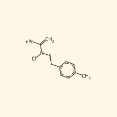 C=C(CCC)N(Cl)SCc1ccc(C)cc1